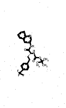 CC(C)(C)OC(=O)N[C@H](CCc1ccc(C(F)(F)F)cc1)C(=O)Nc1cnc2ccccc2c1